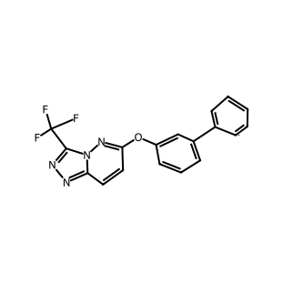 FC(F)(F)c1nnc2ccc(Oc3cccc(-c4[c]cccc4)c3)nn12